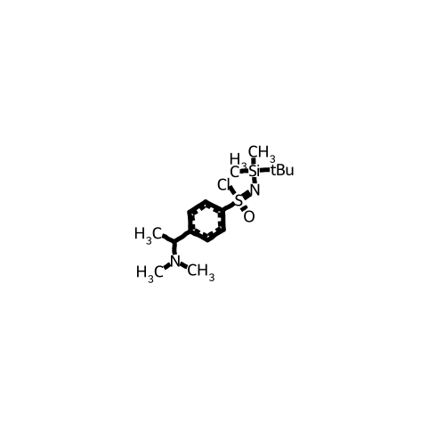 CC(c1ccc(S(=O)(Cl)=N[Si](C)(C)C(C)(C)C)cc1)N(C)C